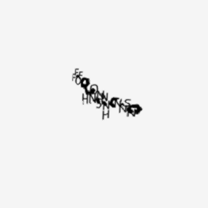 O=C(Cc1cccc(OC(F)(F)F)c1)Nc1nnc(N[C@@H]2CCN(c3nc4ncccc4s3)C2)s1